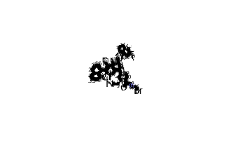 N#CC[C@H]1CN(c2nc(OC[C@@]34CCCN3C[C@H](F)C4)nc3c(F)c(-c4cccc5cccc(Cl)c45)ncc23)CCN1C(=O)/C=C/CBr